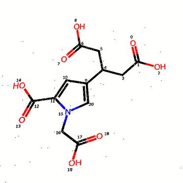 O=C(O)CC(CC(=O)O)c1cc(C(=O)O)n(CC(=O)O)c1